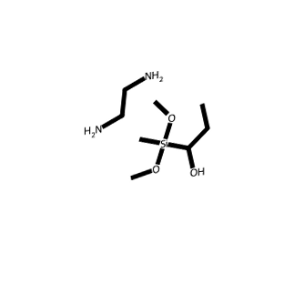 CCC(O)[Si](C)(OC)OC.NCCN